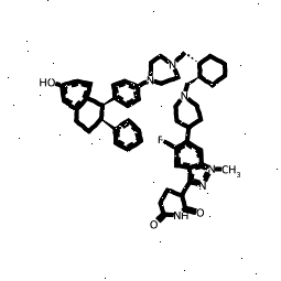 Cn1nc(C2CCC(=O)NC2=O)c2cc(F)c(C3CCN(C[C@@H]4CCCC[C@H]4CN4CCN(c5ccc([C@@H]6c7ccc(O)cc7CC[C@@H]6c6ccccc6)cc5)CC4)CC3)cc21